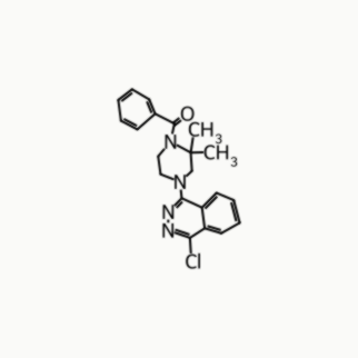 CC1(C)CN(c2nnc(Cl)c3ccccc23)CCN1C(=O)c1ccccc1